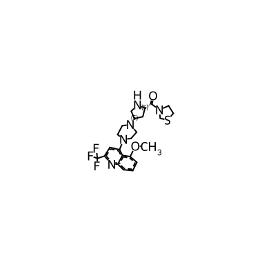 COc1cccc2nc(C(F)(F)F)cc(N3CCN([C@@H]4CN[C@H](C(=O)N5CCSC5)C4)CC3)c12